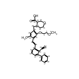 COCCOc1cc(/C=C/c2cccc(-c3ccccc3)c2C#N)c(C)cc1CN1CCOCC1C(=O)O